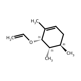 C=CO[C@@H]1C(C)=CC[C@@H](C)[C@@H]1C